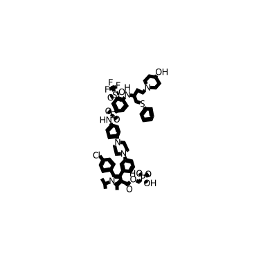 Cc1c(C(=O)OCP(=O)(O)O)c(-c2cccc(N3CCN(c4ccc(NS(=O)(=O)c5ccc(NC(CCN6CCC(O)CC6)CSc6ccccc6)c(S(=O)(=O)C(F)(F)F)c5)cc4)CC3)c2)c(-c2ccc(Cl)cc2)n1C(C)C